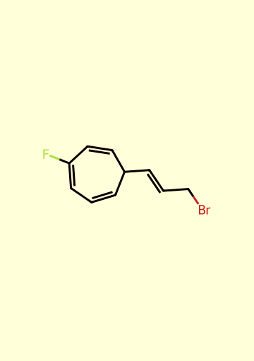 FC1=CC=CC(/C=C/CBr)C=C1